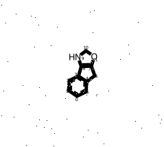 c1ccc2c(c1)CC1=C2NCO1